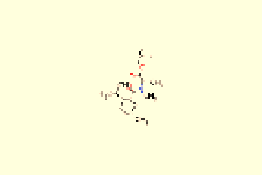 CCOC(=O)C(C)N(C)C(=O)[C@@H]1C[C@H](C)CC[C@H]1C(C)C